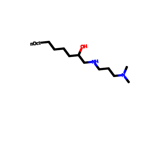 CCCCCCCCCCCCC(O)CNCCCN(C)C